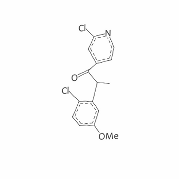 COc1ccc(Cl)c(C(C)C(=O)c2ccnc(Cl)c2)c1